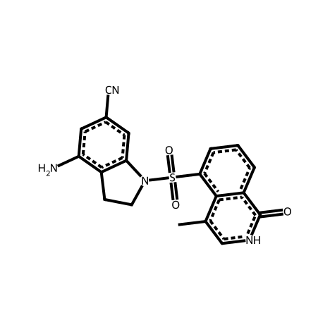 Cc1c[nH]c(=O)c2cccc(S(=O)(=O)N3CCc4c(N)cc(C#N)cc43)c12